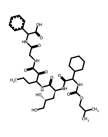 CCCC(NC(=O)[C@H](C[C@@H](O)CO)NC(=O)C(NC(=O)OCC(C)C)C1CCCCC1)C(=O)C(=O)NCC(=O)NC(C(=O)O)c1ccccc1